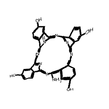 Nc1nc2nc(nc3[nH]c(nc4nc(ncc5ccc(O)cc15)-c1cc(O)ccc1-4)c1cc(O)ccc31)-c1cc(O)ccc1-2